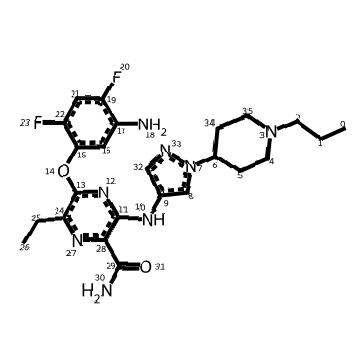 CCCN1CCC(n2cc(Nc3nc(Oc4cc(N)c(F)cc4F)c(CC)nc3C(N)=O)cn2)CC1